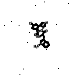 COC(=O)C(Cc1cn(C)c2ccccc12)NC(=O)Oc1ccc(Cl)cc1-c1c[nH]cn1